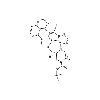 COc1nccc2ccc(C)c(-c3cc4c5c(ncnc5c3F)N3C[C@@H](C)N(C(=O)OC(C)(C)C)C[C@H]3CO4)c12